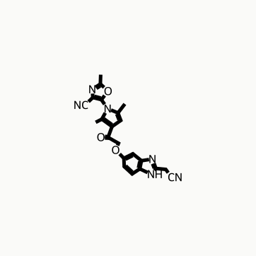 Cc1nc(C#N)c(-n2c(C)cc(C(=O)COc3ccc4[nH]c(CC#N)nc4c3)c2C)o1